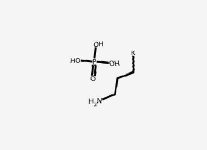 NCC[CH2][K].O=P(O)(O)O